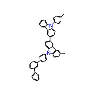 Cc1ccc(-n2c3ccccc3c3cc(-c4ccc5c(c4)c4cc(C)ccc4n5-c4ccc(-c5cccc(-c6ccccc6)c5)cc4)ccc32)cc1